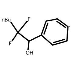 CCCCC(F)(F)C(O)c1cc[c]cc1